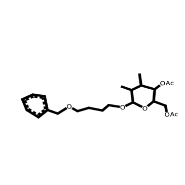 CC(=O)OCC1OC(OCCCCOCc2ccccc2)C(C)C(C)C1OC(C)=O